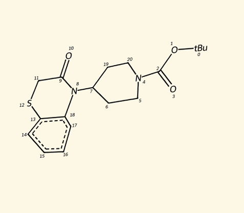 CC(C)(C)OC(=O)N1CCC(N2C(=O)CSc3ccccc32)CC1